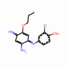 CCCOC1=CC(=Nc2ccc(O)c(Cl)c2)C(N)=CC1=N